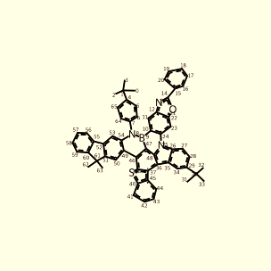 CC(C)(C)c1ccc(N2B3c4cc5nc(-c6ccccc6)oc5cc4-n4c5ccc(C(C)(C)C)cc5c5c6c(sc7ccccc76)c(c3c54)-c3cc4c(cc32)-c2ccccc2C4(C)C)cc1